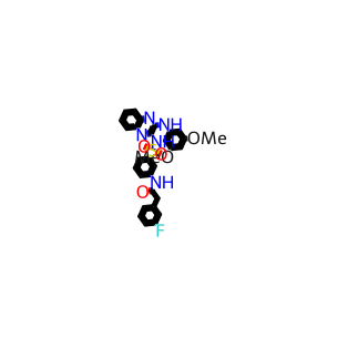 COc1cc(Nc2nc3ccccc3nc2NS(=O)(=O)c2cccc(NC(=O)Cc3cccc(F)c3)c2)cc(OC)c1